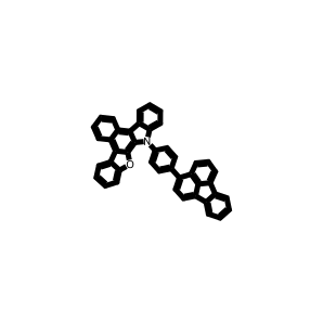 c1ccc2c(c1)-c1cccc3c(-c4ccc(-n5c6ccccc6c6c7ccccc7c7c8ccccc8oc7c65)cc4)ccc-2c13